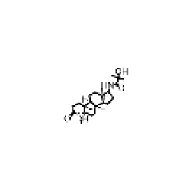 CN1C(=O)CC[C@]2(C)[C@H]3CC[C@]4(C)C(NC(=O)C(C)(C)O)CC[C@H]4[C@@H]3CC[C@@H]12